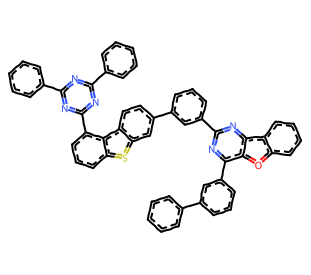 c1ccc(-c2cccc(-c3nc(-c4cccc(-c5ccc6c(c5)sc5cccc(-c7nc(-c8ccccc8)nc(-c8ccccc8)n7)c56)c4)nc4c3oc3ccccc34)c2)cc1